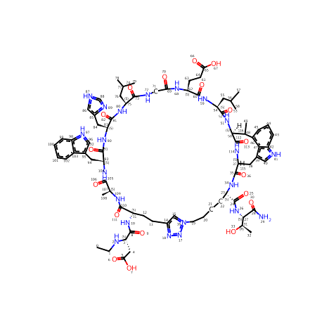 CCN[C@@H](CC(=O)O)C(=O)N[C@H]1CCc2cn(nn2)CCCC[C@@H](C(=O)N[C@H](C(N)=O)[C@@H](C)O)NC(=O)[C@@H]2Cc3c[nH]c4cccc(c34)C(C)[C@H](NC(=O)[C@H](CC(C)C)NC(=O)[C@H](CCC(=O)O)NC(=O)CNC(=O)[C@H](CC(C)C)NC(=O)[C@H](Cc3c[nH]cn3)NC(=O)[C@H](Cc3c[nH]c4ccccc34)NC(=O)[C@H](C)NC1=O)C(=O)N2